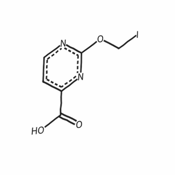 O=C(O)c1ccnc(OCI)n1